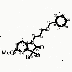 COc1ccc2c(n1)C(Br)(Br)C(=O)N2CCCOCc1ccccc1